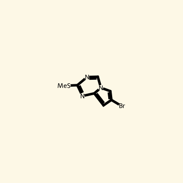 CSc1ncn2cc(Br)cc2n1